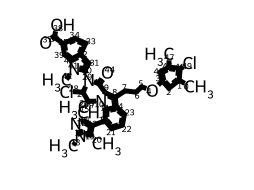 Cc1cc(OCCCc2c3n(c4c(-c5c(C)nn(C)c5C)cccc24)[C@H](C)C(Cl)N(c2cc4ccc(C(=O)O)cc4n2C)C3=O)cc(C)c1Cl